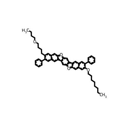 CCCCCCCCOc1cc2cc3oc4cc5c(cc4c3cc2cc1-c1ccccc1)oc1cc2cc(CCCCOCCCC)c(-c3ccccc3)cc2cc15